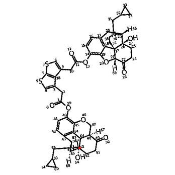 O=C(Cc1csc2scc(CC(=O)Oc3ccc4c5c3O[C@H]3C(=O)CC[C@@]6(O)[C@@H](C4)N(CC4CC4)CC[C@]536)c12)Oc1ccc2c3c1OC[C@H]1C(=O)CC[C@@]4(O)[C@@H](C2)N(CC2CC2)CC[C@]314